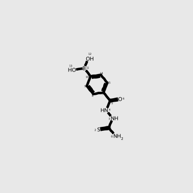 NC(=S)NNC(=O)c1ccc(B(O)O)cc1